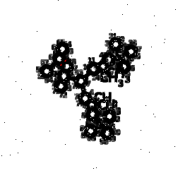 CC1(C)c2cc(-c3cc(-c4ccc5c(c4)C(C)(C)c4cc([Si](c6ccccc6)(c6ccccc6)c6ccccc6)ccc4-5)cc(-c4c5ccccc5c(-c5ccccc5-c5ccc6ccccc6c5)c5ccccc45)c3)ccc2-c2ccc([Si](c3ccccc3)(c3ccccc3)c3ccccc3)cc21